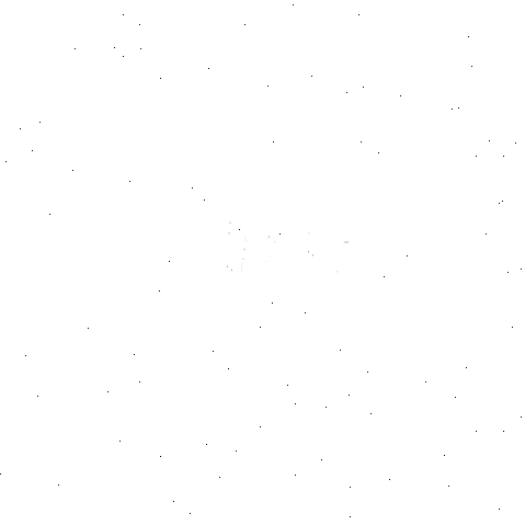 COCCNc1c(-c2ccccc2)c(C(C)N2C(=O)c3ccccc3C2O)nc2ccc(F)cc12